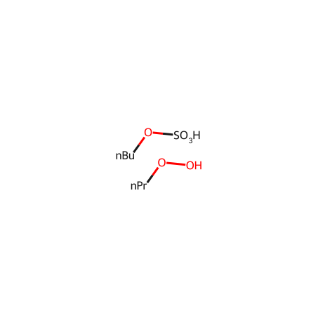 CCCCOS(=O)(=O)O.CCCOO